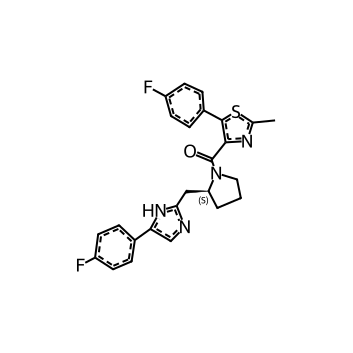 Cc1nc(C(=O)N2CCC[C@H]2Cc2ncc(-c3ccc(F)cc3)[nH]2)c(-c2ccc(F)cc2)s1